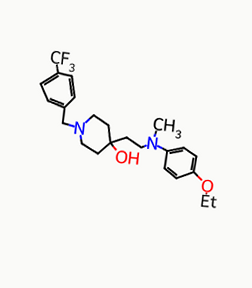 CCOc1ccc(N(C)CCC2(O)CCN(Cc3ccc(C(F)(F)F)cc3)CC2)cc1